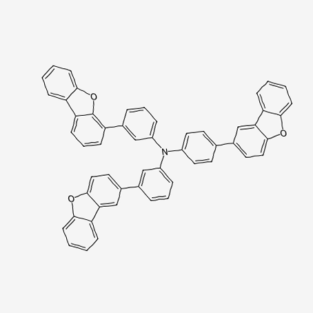 c1cc(-c2ccc3oc4ccccc4c3c2)cc(N(c2ccc(-c3ccc4oc5ccccc5c4c3)cc2)c2cccc(-c3cccc4c3oc3ccccc34)c2)c1